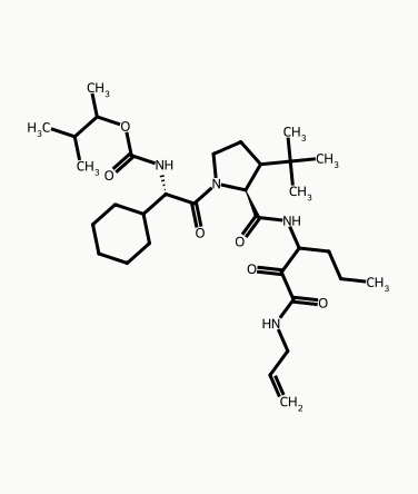 C=CCNC(=O)C(=O)C(CCC)NC(=O)[C@@H]1C(C(C)(C)C)CCN1C(=O)[C@@H](NC(=O)OC(C)C(C)C)C1CCCCC1